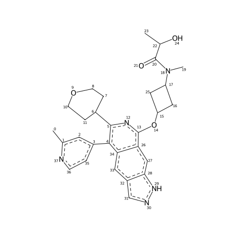 Cc1cc(-c2c(C3CCOCC3)nc(OC3CC(N(C)C(=O)C(C)O)C3)c3cc4[nH]ncc4cc23)ccn1